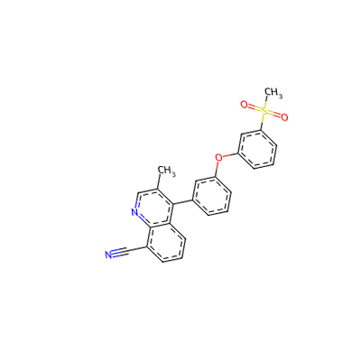 Cc1cnc2c(C#N)cccc2c1-c1cccc(Oc2cccc(S(C)(=O)=O)c2)c1